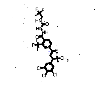 CC(F)(F)C(/C=C(\F)c1ccc(C(=O)NNC(=O)NCC(F)(F)F)c(C(F)(F)F)c1)c1cc(Cl)c(Cl)c(Cl)c1